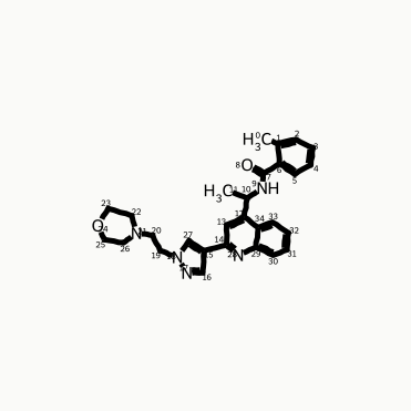 Cc1ccccc1C(=O)NC(C)c1cc(-c2cnn(CCN3CCOCC3)c2)nc2ccccc12